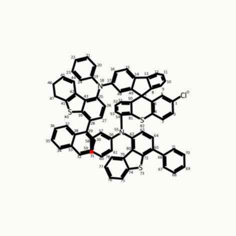 Clc1ccc2c(c1)C1(c3ccccc3-c3ccc(N(c4ccccc4)c4ccc(-c5cccc6ccccc56)c5sc6c(c45)C=CCC6)cc31)c1cccc(N(c3ccccc3)c3ccc(-c4ccccc4)c4sc5ccccc5c34)c1S2